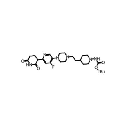 CC(C)(C)OC(=O)NN1CCC(CCN2CCN(c3cnc(C4CCC(=O)NC4=O)cc3F)CC2)CC1